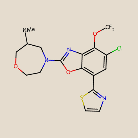 CNC1COCCN(c2nc3c(OC(F)(F)F)c(Cl)cc(-c4nccs4)c3o2)C1